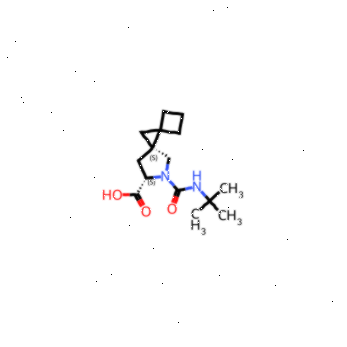 CC(C)(C)NC(=O)N1C[C@]2(C[C@H]1C(=O)O)CC21CCC1